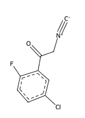 [C-]#[N+]CC(=O)c1cc(Cl)ccc1F